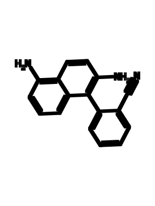 N#Cc1ccccc1-c1c(N)ccc2c(N)cccc12